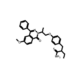 CCC(Cc1ccc(OCC(C)n2nc(-c3ccccc3)c3cc(OC)ccc3c2=O)cc1)C(N)=S